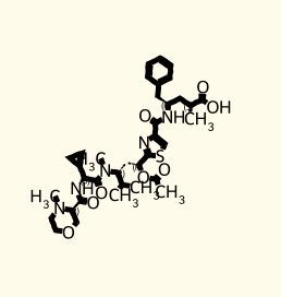 CC(=O)O[C@H](C[C@H](C(C)C)N(C)C(=O)[C@@H](NC(=O)[C@H]1COCCN1C)C1CC1)c1nc(C(=O)N[C@@H](Cc2ccccc2)C[C@H](C)C(=O)O)cs1